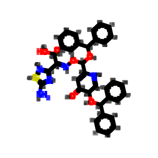 Nc1nc(/C(=N/OC(OC(c2ccccc2)c2ccccc2)C2=CC(=O)C(OC(c3ccccc3)c3ccccc3)C=N2)C(=O)O)ns1